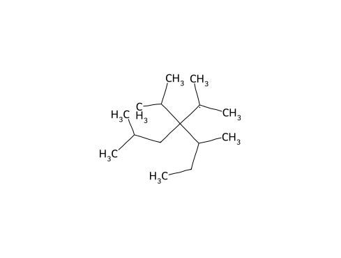 CCC(C)C(CC(C)C)([C](C)C)C(C)C